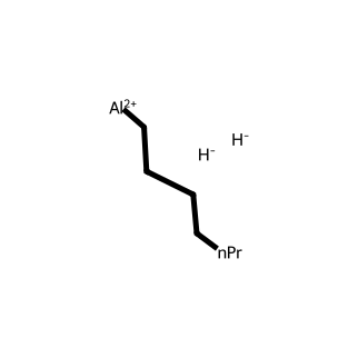 CCCCCC[CH2][Al+2].[H-].[H-]